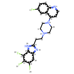 Fc1ccc2nccc(N3CCN(CCc4nc5cc(F)c(F)c(F)c5[nH]4)CC3)c2c1